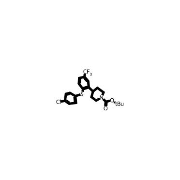 CC(C)(C)OC(=O)N1CCC(c2cc(C(F)(F)F)ccc2Sc2ccc(Cl)cc2)CC1